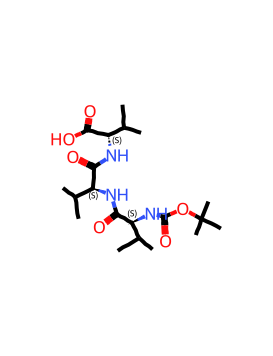 CC(C)[C@H](NC(=O)[C@@H](NC(=O)[C@@H](NC(=O)OC(C)(C)C)C(C)C)C(C)C)C(=O)O